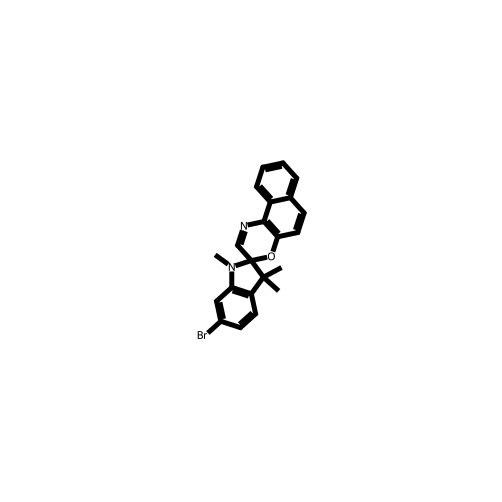 CN1c2cc(Br)ccc2C(C)(C)C12C=Nc1c(ccc3ccccc13)O2